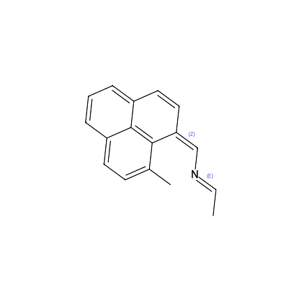 C/C=N/C=c1/ccc2cccc3ccc(C)c1c32